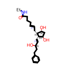 CCNC(=O)CCC/C=C/C[C@H]1[C@@H](/C=C/[C@H](O)CCc2ccccc2)[C@@H](O)C[C@H]1O